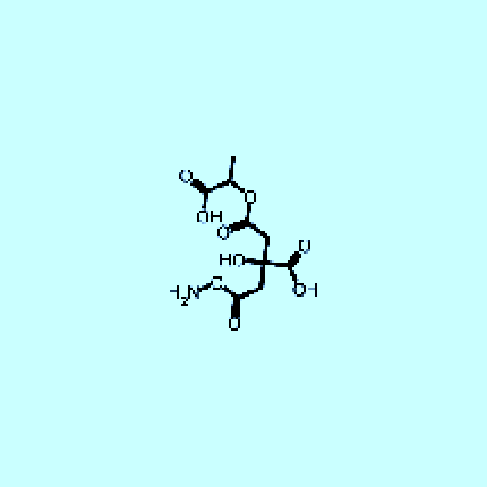 CC(OC(=O)CC(O)(CC(=O)ON)C(=O)O)C(=O)O